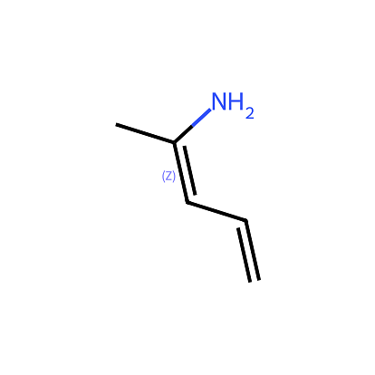 C=C/C=C(/C)N